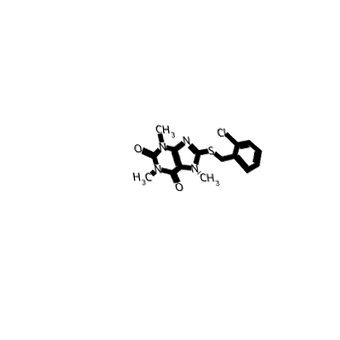 Cn1c(=O)c2c(nc(SCc3ccccc3Cl)n2C)n(C)c1=O